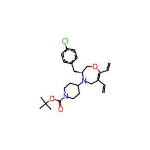 C=CC1=C(C=C)OC[C@H](Cc2ccc(Cl)cc2)N(C2CCN(C(=O)OC(C)(C)C)CC2)C1